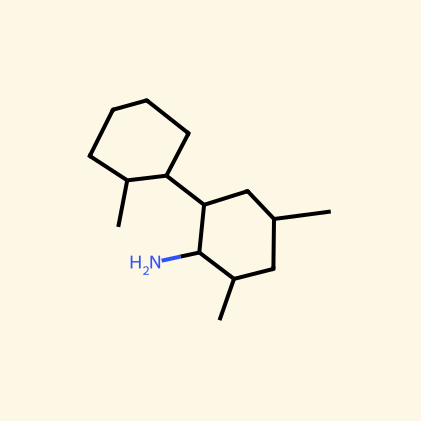 CC1CC(C)C(N)C(C2CCCCC2C)C1